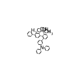 CC1(C)c2cc(-c3ccccc3)ccc2-c2c(-c3cccc(N(c4ccccc4)c4ccccc4)c3)cccc2C1(C)C